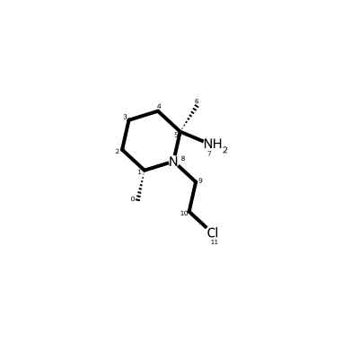 C[C@@H]1CCC[C@@](C)(N)N1CCCl